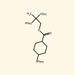 CCCCCCCCC(C)(CCCCCC)COC(=O)C1CCC(CCCCC)CC1